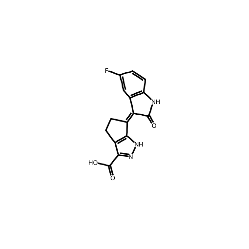 O=C1Nc2ccc(F)cc2/C1=C1\CCc2c(C(=O)O)n[nH]c21